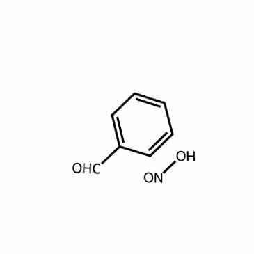 O=Cc1ccccc1.O=NO